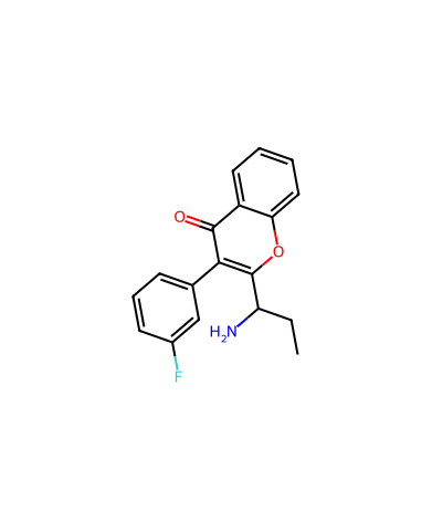 CCC(N)c1oc2ccccc2c(=O)c1-c1cccc(F)c1